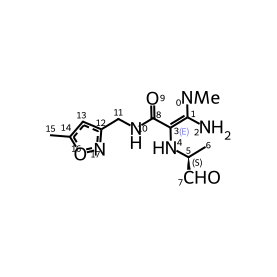 CN/C(N)=C(/N[C@@H](C)C=O)C(=O)NCc1cc(C)on1